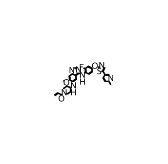 C=CC(=O)N1CCC(Nc2cc3c(Nc4ccc(Oc5ncc(-c6ccc(C)nc6)s5)cc4F)ncnc3cc2OC)CC1